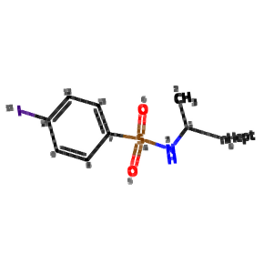 CCCCCCCC(C)NS(=O)(=O)c1ccc(I)cc1